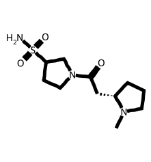 CN1CCC[C@H]1CC(=O)N1CCC(S(N)(=O)=O)C1